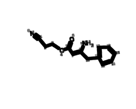 N#CCCOC(=O)C=C(N)Cc1ccccc1